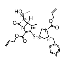 C=CCOC(=O)C1=C(S[C@H]2C[C@@H](Cc3ccncc3)N(C(=O)OCC=C)C2)[C@H](C)[C@@H]2[C@@H]([C@@H](C)O)C(=O)N12